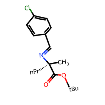 CCC[C@@](C)(N=Cc1ccc(Cl)cc1)C(=O)OC(C)(C)C